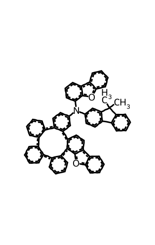 CC1(C)c2ccccc2-c2ccc(N(c3ccc4c5ccccc5c5ccccc5c5ccccc5c5c(ccc6c7ccccc7oc65)c4c3)c3cccc4c3oc3ccccc34)cc21